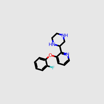 Fc1ccccc1Oc1cccnc1C1CNCCN1